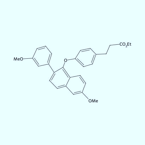 CCOC(=O)CCc1ccc(Oc2c(-c3cccc(OC)c3)ccc3cc(OC)ccc23)cc1